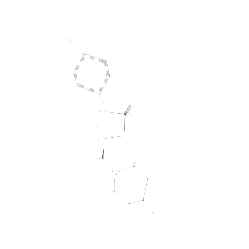 CCOC(=O)C1CCN(C[C@H]2CN(c3ccc(C#N)cc3)C(=O)O2)CC1